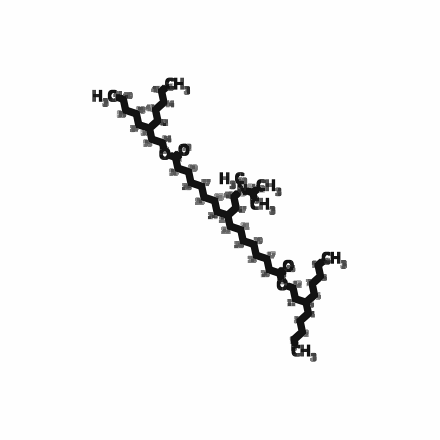 CCCCCC(CCCCC)CCOC(=O)CCCCCCCC(CCCCCCCC(=O)OCCC(CCCCC)CCCCC)CCN(C)C(C)C